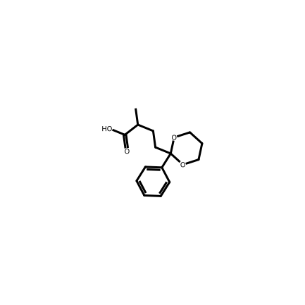 CC(CCC1(c2ccccc2)OCCCO1)C(=O)O